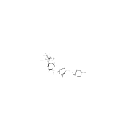 Cc1ccc(OCc2ccc(Oc3ccc(NS(C)(=O)=O)cc3C)nc2)cc1